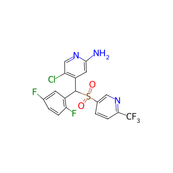 Nc1cc(C(c2cc(F)ccc2F)S(=O)(=O)c2ccc(C(F)(F)F)nc2)c(Cl)cn1